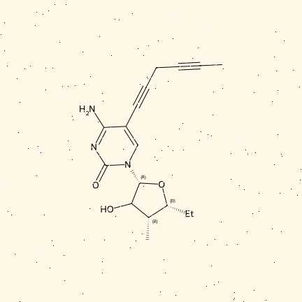 CC#CCC#Cc1cn([C@@H]2O[C@H](CC)[C@H](C)C2O)c(=O)nc1N